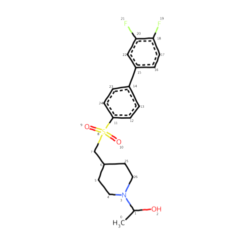 CC(O)N1CCC(CS(=O)(=O)c2ccc(-c3ccc(F)c(F)c3)cc2)CC1